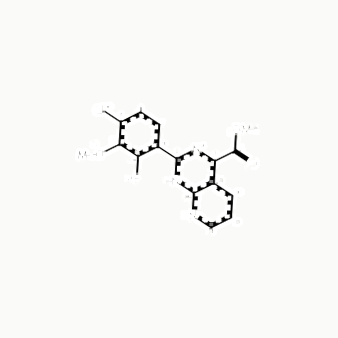 COC(=O)c1nc(-c2ccc(Cl)c(OC)c2F)nc2ncccc12